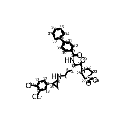 O=C(N[C@@H](CCCNC1C[C@H]1c1ccc(Cl)c(Cl)c1)C(=O)N1CCS(=O)(=O)CC1)c1ccc(-c2ccccc2)cc1